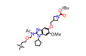 COc1cc2c(cc1OCC1CN(C(=O)OC(C)(C)C)C1)nc(N(COCC[Si](C)(C)C)C(C)=O)n2C1CCCC1